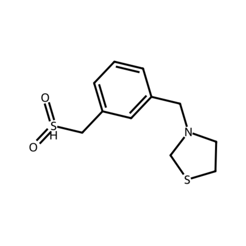 O=[SH](=O)Cc1cccc(CN2CCSC2)c1